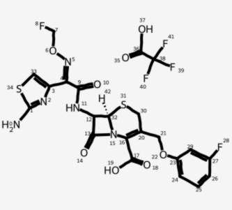 Nc1nc(/C(=N\OCF)C(=O)NC2C(=O)N3C(C(=O)O)=C(COc4cccc(F)c4)CS[C@H]23)cs1.O=C(O)C(F)(F)F